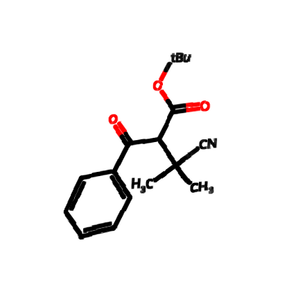 CC(C)(C)OC(=O)C(C(=O)c1ccccc1)C(C)(C)C#N